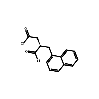 O=C(Cl)C[C@@H](Cc1cccc2ccccc12)C(=O)Cl